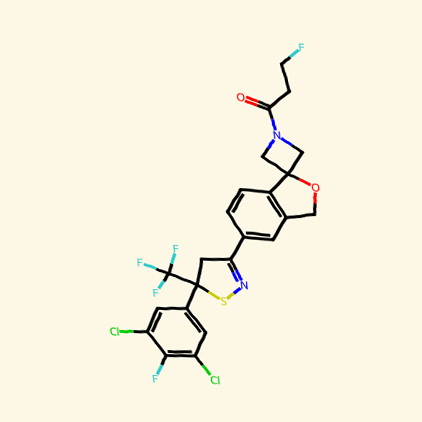 O=C(CCF)N1CC2(C1)OCc1cc(C3=NSC(c4cc(Cl)c(F)c(Cl)c4)(C(F)(F)F)C3)ccc12